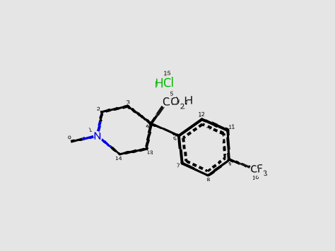 CN1CCC(C(=O)O)(c2ccc(C(F)(F)F)cc2)CC1.Cl